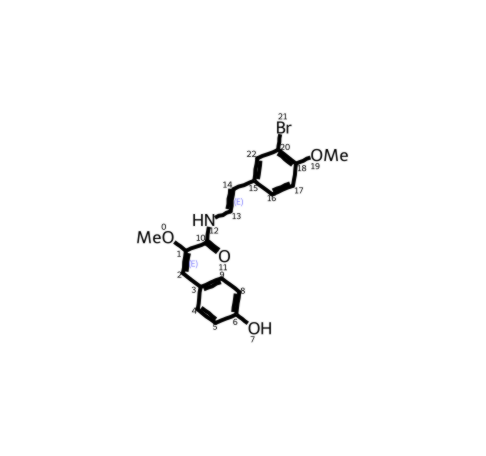 CO/C(=C/c1ccc(O)cc1)C(=O)N/C=C/c1ccc(OC)c(Br)c1